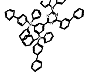 c1ccc(-c2ccc([Si](c3ccccc3)(c3ccccc3)c3cc(-c4nc(-c5cccc(-c6ccccc6)c5)nc(-n5c6ccccc6c6ccccc65)n4)cc([Si](c4ccccc4)(c4ccccc4)c4ccc(-c5ccccc5)cc4)c3)cc2)cc1